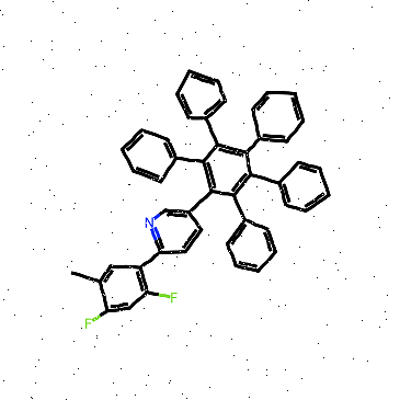 Cc1cc(-c2ccc(-c3c(-c4ccccc4)c(-c4ccccc4)c(-c4ccccc4)c(-c4ccccc4)c3-c3ccccc3)cn2)c(F)cc1F